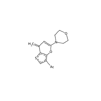 C=C1C=C(N2CCOCC2)Oc2c(C(C)=O)csc21